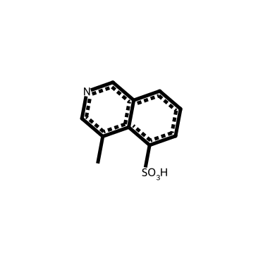 Cc1cncc2cccc(S(=O)(=O)O)c12